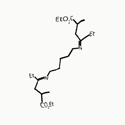 CCOC(=O)C(C)CC(CC)=NCCCCCN=C(CC)CC(C)C(=O)OCC